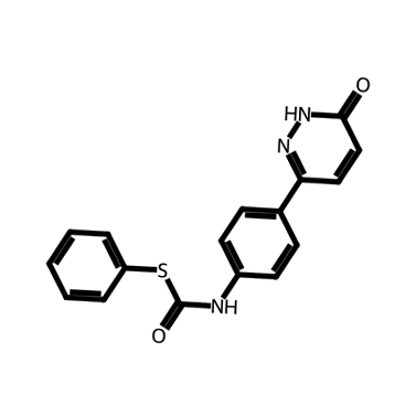 O=C(Nc1ccc(-c2ccc(=O)[nH]n2)cc1)Sc1ccccc1